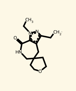 [CH2]Cc1nn(CC)c2c1CC1(CCOCC1)CNC2=O